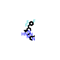 Cc1nccc2nc(NC3CC3)c(N3CCC(C(F)c4ccc(F)cc4F)CC3)nc12